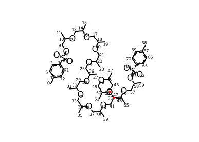 Cc1ccc(S(=O)(=O)OCC(C)OCC(C)OCC(C)OCC(C)OCC(C)OCC(C)OCC(C)OCC(C)OCC(C)OCC(C)OCC(C)OCC(C)OCC(C)OS(=O)(=O)c2ccc(C)cc2)cc1